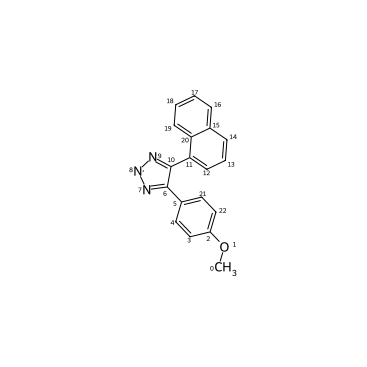 COc1ccc(C2=N[N]N=C2c2cccc3ccccc23)cc1